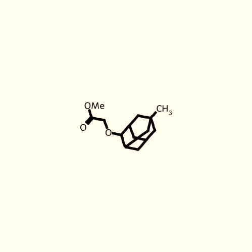 COC(=O)COC1C2CC3CC1CC(C)(C3)C2